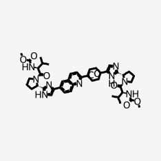 COC(=O)N[C@H](C(=O)N1CCC[C@H]1c1nc(-c2ccc3nc(C45CCC(c6cnc([C@@H]7CCCN7C(=O)[C@@H](NC(=O)OC)C(C)C)[nH]6)(CC4)CC5)ccc3c2)c[nH]1)C(C)C